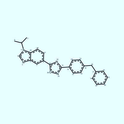 CC(C)n1cnc2cc(-c3nc(-c4ccc(Cc5ccccc5)cc4)no3)ccc21